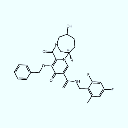 C=C(NCc1c(C)cc(F)cc1F)c1cn2c(c(OCc3ccccc3)c1=O)C(=O)N1CC(O)CC[C@H]2C1